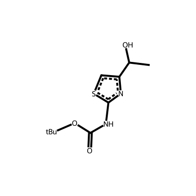 CC(O)c1csc(NC(=O)OC(C)(C)C)n1